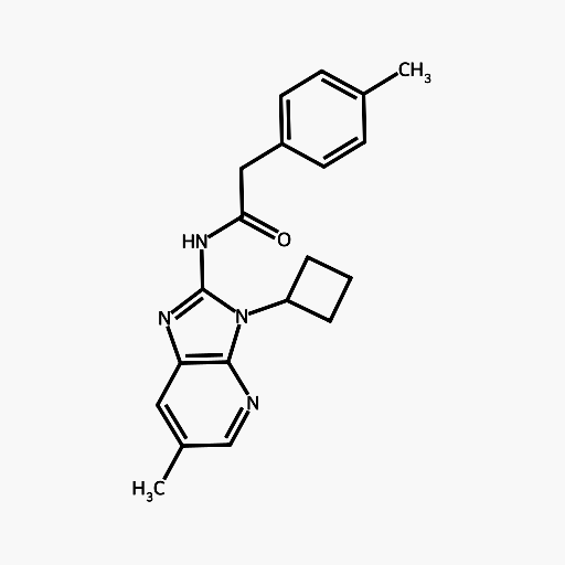 Cc1ccc(CC(=O)Nc2nc3cc(C)cnc3n2C2CCC2)cc1